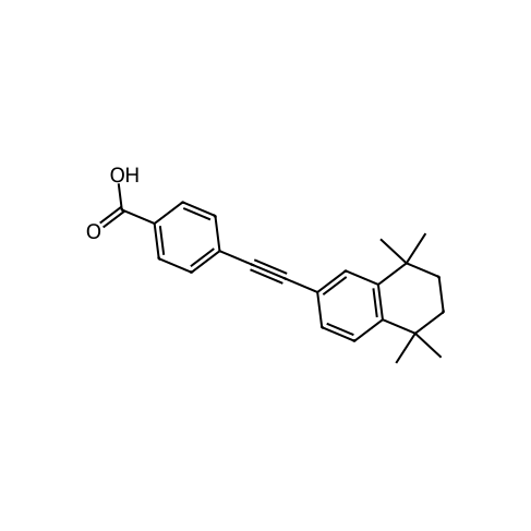 CC1(C)CCC(C)(C)c2cc(C#Cc3ccc(C(=O)O)cc3)ccc21